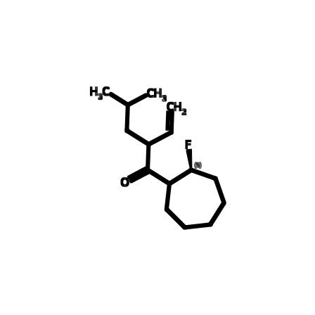 C=CC(CC(C)C)C(=O)C1CCCCC[C@@H]1F